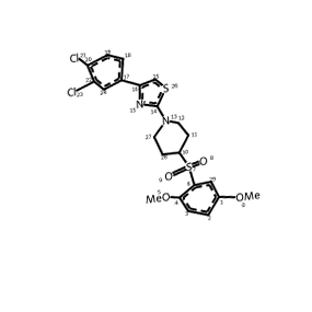 COc1ccc(OC)c(S(=O)(=O)C2CCN(c3nc(-c4ccc(Cl)c(Cl)c4)cs3)CC2)c1